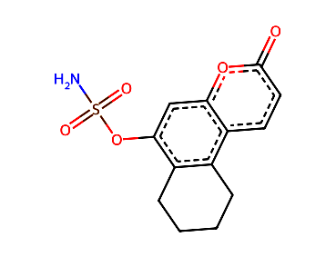 NS(=O)(=O)Oc1cc2oc(=O)ccc2c2c1CCCC2